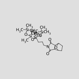 C[Si](C)(C)O[Si](C)(C)O[Si@](C)(CCCN1C(=O)C2C3CCC(O3)C2C1=O)O[Si](C)(C)C